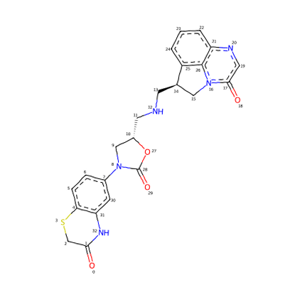 O=C1CSc2ccc(N3C[C@H](CNC[C@@H]4Cn5c(=O)cnc6cccc4c65)OC3=O)cc2N1